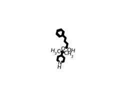 CC(C)(OC(O)CCCc1ccccc1)C1CCNCC1